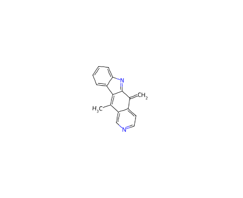 C=c1c2c(c(C)c3cnccc13)-c1ccccc1N=2